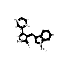 Cn1cc(C=C2C(=O)NN=C2c2cnccn2)c2ccccc21